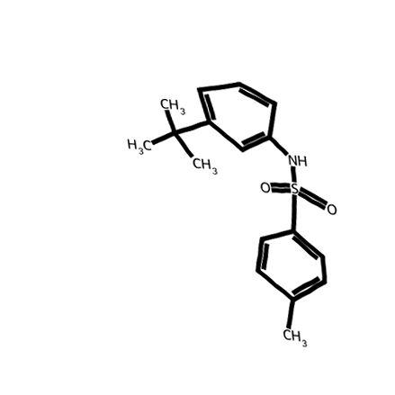 Cc1ccc(S(=O)(=O)Nc2cccc(C(C)(C)C)c2)cc1